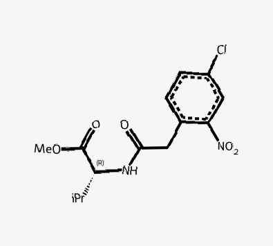 COC(=O)[C@H](NC(=O)Cc1ccc(Cl)cc1[N+](=O)[O-])C(C)C